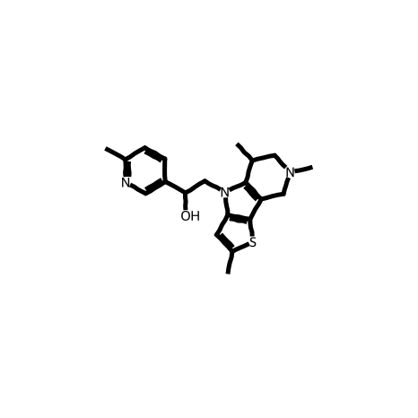 Cc1ccc(C(O)Cn2c3c(c4sc(C)cc42)CN(C)CC3C)cn1